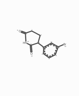 O=C1CCC(c2cccc(Br)c2)C(=O)N1